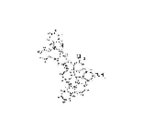 Cc1ccc(C2(c3ccc(C)cc3)c3cc(-c4ccc(-c5nc6ccccc6n5-c5ccccc5)cc4)ccc3-n3c4ccccc4c4cccc2c43)cc1